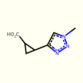 Cn1cc(C2CC2C(=O)O)nn1